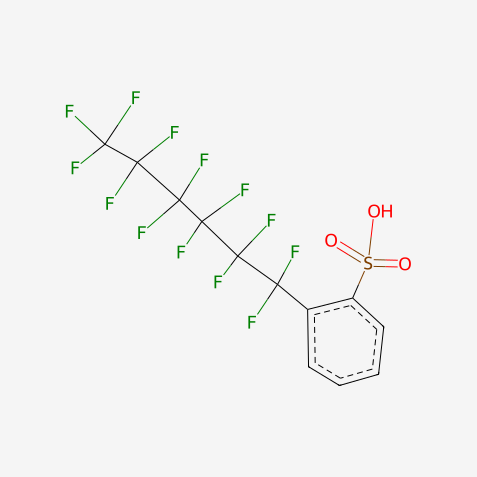 O=S(=O)(O)c1ccccc1C(F)(F)C(F)(F)C(F)(F)C(F)(F)C(F)(F)C(F)(F)F